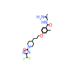 Cc1cc(OCCCC2CCN(c3nc(C(F)F)no3)CC2)ccc1C(=O)NC[C@H](C)N